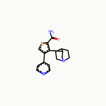 NC(=O)c1scc(-c2ccncc2)c1C1CN2CCC1CC2